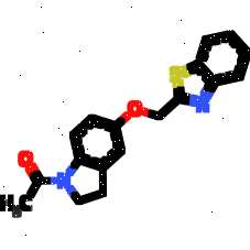 CC(=O)N1CCc2cc(OCc3nc4ccccc4s3)ccc21